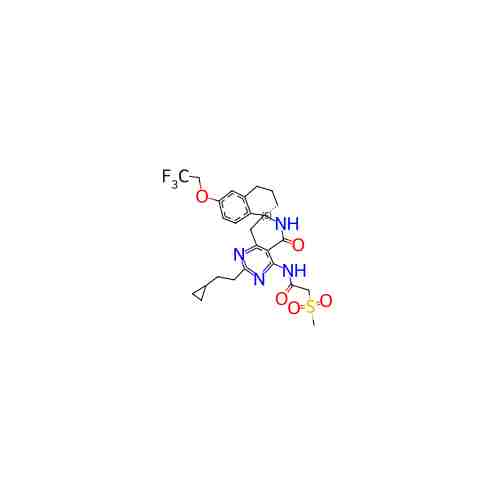 CS(=O)(=O)CC(=O)Nc1nc(CCC2CC2)nc2c1C(=O)N[C@@]1(CCCc3cc(OCC(F)(F)F)ccc31)C2